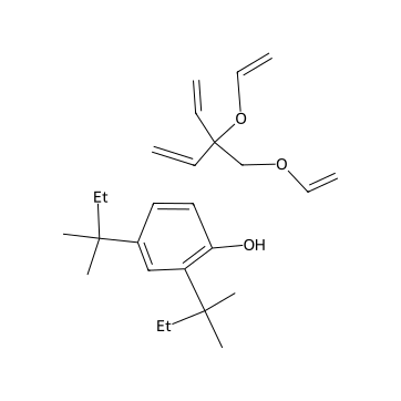 C=COCC(C=C)(C=C)OC=C.CCC(C)(C)c1ccc(O)c(C(C)(C)CC)c1